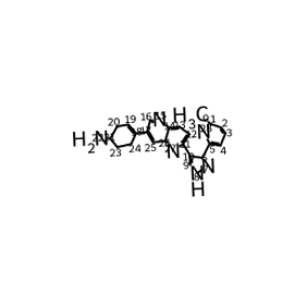 Cc1cccc(-c2n[nH]cc2-c2ccc3ncc(C4=CCC(N)CC4)cc3n2)n1